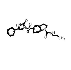 CCCNC(=O)N1CCc2cc(S(=O)(=O)n3cc(-c4ccccc4)[nH]c3=O)ccc21